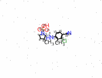 Cc1c(NC[C@@H]2[C@@H](C)CCN2S(=O)(=O)O)ccc(C#N)c1Cl